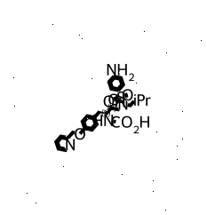 CC(C)CN(C[C@@H](O)[C@H](Cc1ccc(OCc2ccccn2)cc1)NC(=O)O)S(=O)(=O)c1ccc(N)cc1